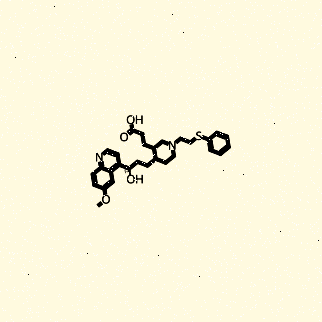 COc1ccc2nccc([C@@H](O)CCC3CCN(CCSc4ccccc4)CC3CCC(=O)O)c2c1